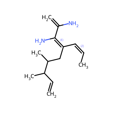 C=CC(C)C(C)CC(/C=C\C)=C(\N)C(=C)N